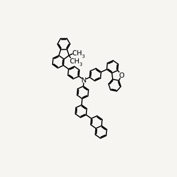 CC1(C)c2ccccc2-c2cccc(-c3ccc(N(c4ccc(-c5cccc(-c6ccc7ccccc7c6)c5)cc4)c4ccc(-c5cccc6oc7ccccc7c56)cc4)cc3)c21